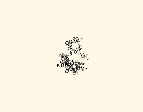 CCCCN(CCSSC[C@@H]1NC(=O)[C@@H](Cc2ccccc2)NC(=O)[C@H](CC(=O)O)NC(=O)CNC(=O)[C@H](CCCNC(=N)N)NC1=O)C(=O)O[C@@H](C(=O)OC1C[C@@]2(O)[C@@H](OC(=O)c3ccccc3)[C@@H]3[C@]4(OC(C)=O)CO[C@@H]4C[C@H](OC)[C@@]3(C)C(=O)[C@H](OC)C(=C1C)C2(C)C)[C@@H](NC(=O)OC(C)(C)C)c1ccccc1